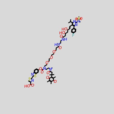 CC1=C(C)C(=O)C(C(C)(C)CC(=O)N(C)CCN(CCOCCOCCOCCC(=O)NCCNC(=O)C[C@H](O)C[C@H](O)/C=C/c2c(-c3ccc(F)cc3)nc(N(C)S(C)(=O)=O)nc2C(C)C)C(=O)Oc2ccc3nc(C4=NC(C(=O)O)CS4)sc3c2)=C(C)C1=O